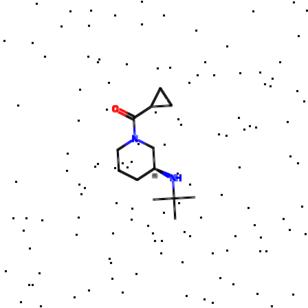 CC(C)(C)N[C@H]1CCCN(C(=O)C2CC2)C1